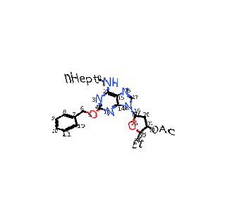 CCCCCCCNc1nc(OCc2ccccc2)nc2c1ncn2[C@H]1CC(OC(C)=O)[C@@H](CC)O1